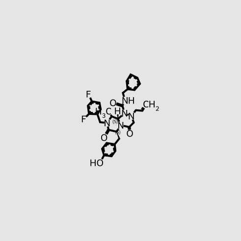 C=CCN1CC(=O)N2[C@@H](Cc3ccc(O)cc3)C(=O)N(Cc3ccc(F)cc3F)C(C)[C@@H]2N1C(=O)NCc1ccccc1